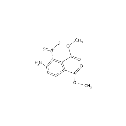 COC(=O)c1ccc(N)c([N+](=O)[O-])c1C(=O)OC